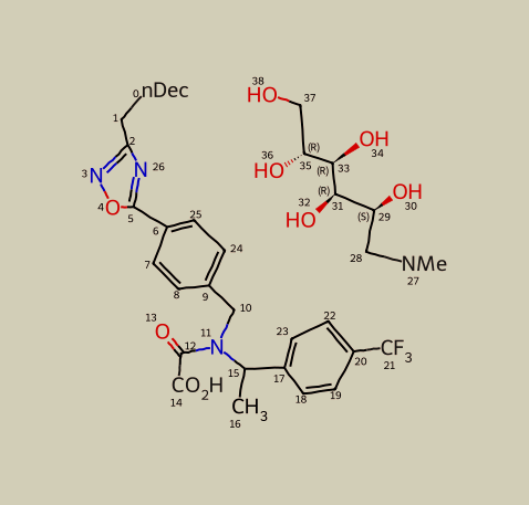 CCCCCCCCCCCc1noc(-c2ccc(CN(C(=O)C(=O)O)C(C)c3ccc(C(F)(F)F)cc3)cc2)n1.CNC[C@H](O)[C@@H](O)[C@H](O)[C@H](O)CO